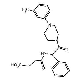 O=C(O)CCC(=O)NC(C(=O)N1CCN(c2cccc(C(F)(F)F)c2)CC1)c1ccccc1